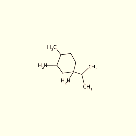 CC1CCC(N)(C(C)C)CC1N